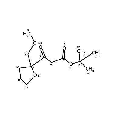 COCC1(C(=O)CC(=O)OC(C)(C)C)CCCO1